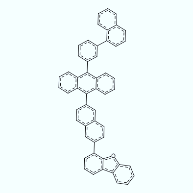 c1cc(-c2cccc3ccccc23)cc(-c2c3ccccc3c(-c3ccc4cc(-c5cccc6c5oc5ccccc56)ccc4c3)c3ccccc23)c1